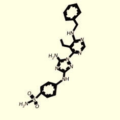 CCc1c(NCc2ccccc2)ncnc1-n1nc(Nc2ccc(S(N)(=O)=O)cc2)nc1N